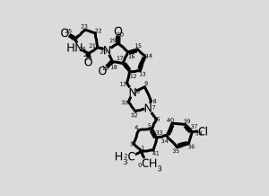 CC1(C)CCC(CN2CCN(Cc3cccc4c3C(=O)N(C3CCC(=O)NC3=O)C4=O)CC2)=C(c2ccc(Cl)cc2)C1